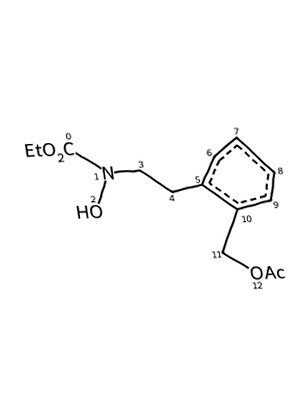 CCOC(=O)N(O)CCc1ccccc1COC(C)=O